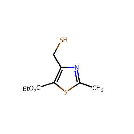 CCOC(=O)c1sc(C)nc1CS